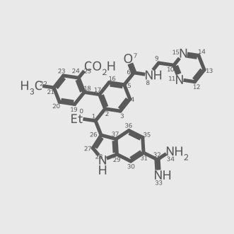 CCC(c1ccc(C(=O)NCc2ncccn2)cc1-c1ccc(C)cc1C(=O)O)c1c[nH]c2cc(C(=N)N)ccc12